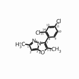 Cc1cc2oc(C)c(-c3ccc(Cl)cc3Cl)n2n1